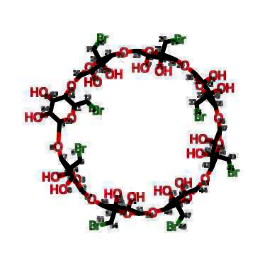 OC1C2OC(CBr)C(OC3OC(CBr)C(OC4OC(CBr)C(OC5OC(CBr)C(OC6OC(CBr)C(OC7OC(CBr)C(OC8OC(CBr)C(OC9OC(CBr)C(O2)C(O)C9O)C(O)C8O)C(O)C7O)C(O)C6O)C(O)C5O)C(O)C4O)C(O)C3O)C1O